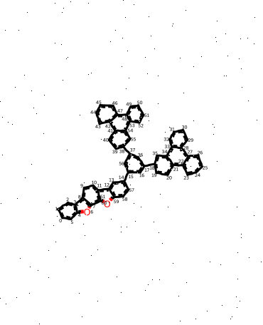 c1ccc2c(c1)oc1c2ccc2c3cc(-c4cc(-c5ccc6c7ccccc7c7ccccc7c6c5)cc(-c5ccc6c7ccccc7c7ccccc7c6c5)c4)ccc3oc21